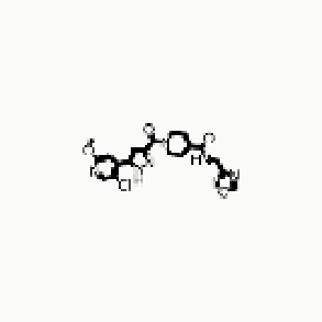 COc1cc(-c2cc(C(=O)N3CCC(C(=O)NCc4ncon4)CC3)n[nH]2)c(Cl)cn1